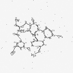 CSc1ccc(-n2c(-c3ccc(C)cc3)cc(=O)n(C/C(=N\O)NC(=O)c3cc(Cl)cc(Cl)c3)c2=O)cc1